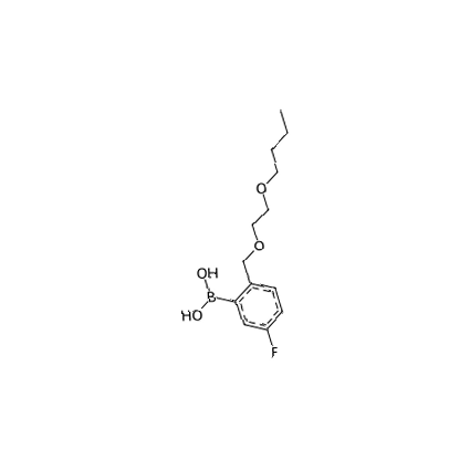 CCCCOCCOCc1ccc(F)cc1B(O)O